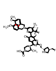 COc1ccc(CN(Cc2ccc(OC)cc2)c2cc(C)c(C(F)(F)F)c(-c3c(Cl)cc4c(N5CCN(C(=O)O)C[C@@H]5C)nc(OC[C@@H]5C[C@@H](CF)CN5)nc4c3F)n2)cc1